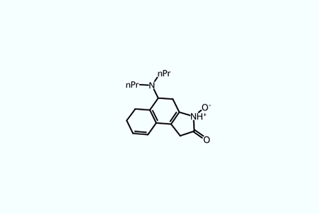 CCCN(CCC)C1CC2=C(CC(=O)[NH+]2[O-])C2=C1CCC=C2